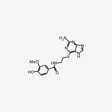 COc1cc(C(=O)NCCSc2nc(N)nc3nc[nH]c23)ccc1O